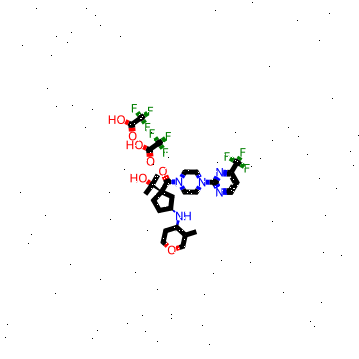 CC1COCC[C@H]1N[C@@H]1CC[C@@](C(=O)N2CCN(c3nccc(C(F)(F)F)n3)CC2)(C(C)(C)O)C1.O=C(O)C(F)(F)F.O=C(O)C(F)(F)F